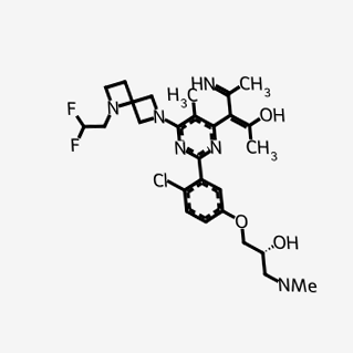 CNC[C@@H](O)COc1ccc(Cl)c(-c2nc(/C(C(C)=N)=C(\C)O)c(C)c(N3CC4(CCN4CC(F)F)C3)n2)c1